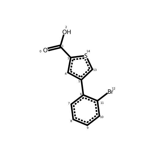 O=C(O)c1cc(-c2ccccc2Br)cs1